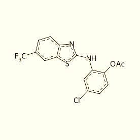 CC(=O)Oc1ccc(Cl)cc1Nc1nc2ccc(C(F)(F)F)cc2s1